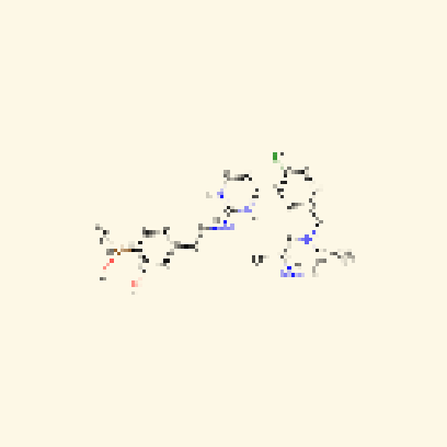 C[C@H]1CN(Cc2ccc(F)c(-c3ccnc(NCCc4ccc([S+](C)[O-])c(O)c4)n3)c2)[C@@H](C)CN1